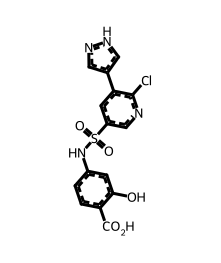 O=C(O)c1ccc(NS(=O)(=O)c2cnc(Cl)c(-c3cn[nH]c3)c2)cc1O